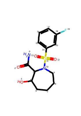 NC(=O)C1C(O)[CH]CCCN1S(=O)(=O)c1cccc(F)c1